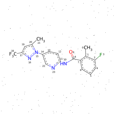 Cc1c(F)cccc1C(=O)Nc1ccc(-n2nc(C(F)(F)F)cc2C)cn1